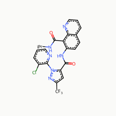 CC(C)NC(=O)c1c(NC(=O)c2cc(C(F)(F)F)nn2-c2ncccc2Cl)ccc2cccnc12